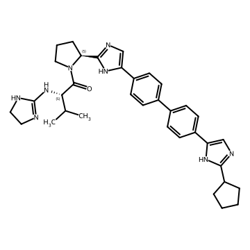 CC(C)[C@H](NC1=NCCN1)C(=O)N1CCC[C@H]1c1ncc(-c2ccc(-c3ccc(-c4cnc(C5CCCC5)[nH]4)cc3)cc2)[nH]1